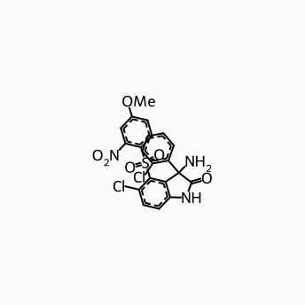 COc1ccc(S(=O)(=O)c2c(Cl)ccc3c2C(N)(c2ccccc2Cl)C(=O)N3)c([N+](=O)[O-])c1